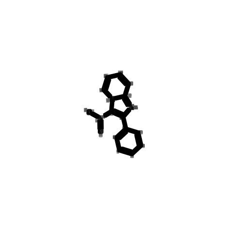 O=[N+]([O-])c1c(-c2ccccc2)nc2ccccn12